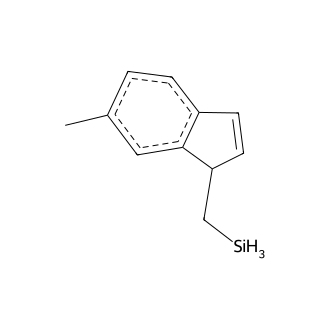 Cc1ccc2c(c1)C(C[SiH3])C=C2